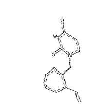 C=Cc1ccccc1Cn1ccc(=O)[nH]c1=O